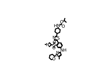 Cc1cc(Nc2ccc(-c3cnc(C4CCC(NC(=O)OC(C)C)CC4)s3)c(S(=O)(=O)C3CN(C)C3)c2)nn1C1CCCCO1